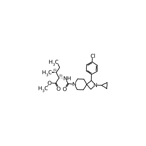 CC[C@H](C)[C@H](NC(=O)N1CCC2(CC1)CN(C1CC1)C2c1ccc(Cl)cc1)C(=O)OC